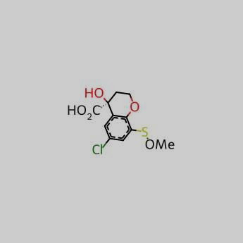 COSc1cc(Cl)cc2c1OCC[C@@]2(O)C(=O)O